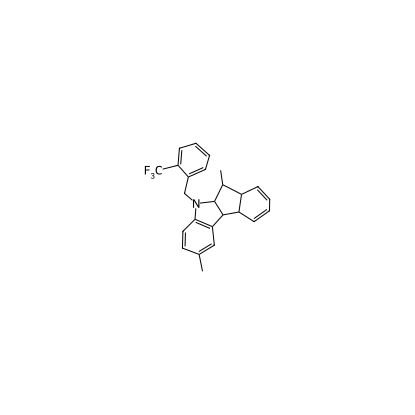 Cc1ccc2c(c1)C1C3C=CC=CC3C(C)C1N2Cc1ccccc1C(F)(F)F